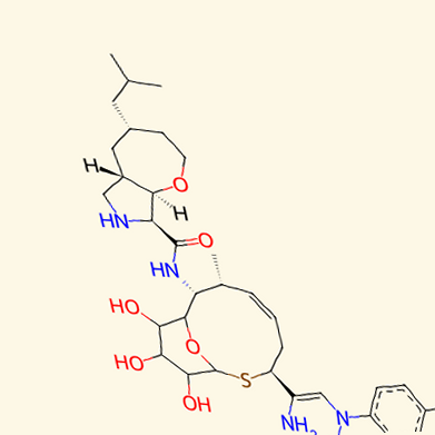 CC(C)C[C@@H]1CCO[C@@H]2[C@H](CN[C@@H]2C(=O)N[C@H]2C3OC(S[C@H](/C(N)=C/N(N)c4ccc(F)cc4)C/C=C\[C@H]2C)C(O)C(O)C3O)C1